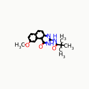 COc1ccc2ccc3nc(NC(=O)C(C)(C)C)[nH]c(=O)c3c2c1